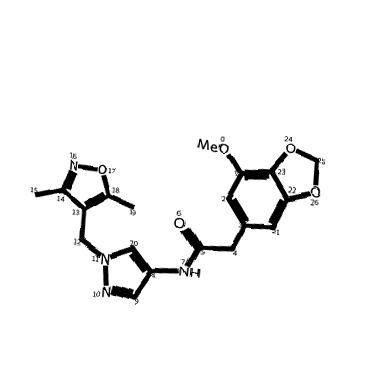 COc1cc(CC(=O)Nc2cnn(Cc3c(C)noc3C)c2)cc2c1OCO2